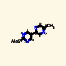 CSc1ncc(-c2cnc(C)cn2)cn1